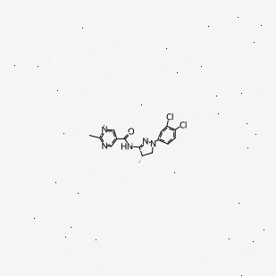 Cc1ncc(C(=O)NC2=NN(c3ccc(Cl)c(Cl)c3)C[C@@H]2C)cn1